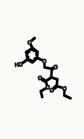 CCOC(=O)CC(C(=O)COc1cc(O)cc(OC)c1)C(=O)OCC